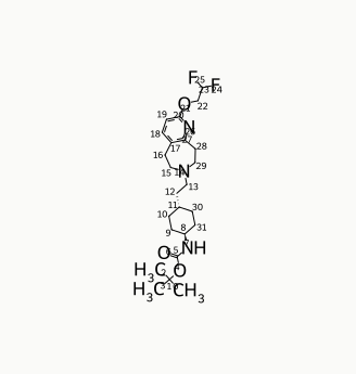 CC(C)(C)OC(=O)N[C@H]1CC[C@H](CCN2CCc3ccc(OCC(F)F)nc3CC2)CC1